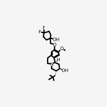 COc1cc2c(cc1OCC1(O)CCC(F)(F)CC1)CCN1C[C@@H](CC(C)(C)C)[C@H](O)C[C@H]21